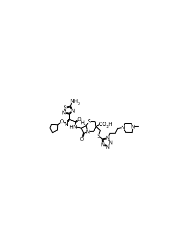 CN1CCN(CCCn2nnnc2SCC2(C(=O)O)CS[C@@H]3C(NC(=O)C(=NOC4CCCC4)c4nsc(N)n4)C(=O)N3C2)CC1